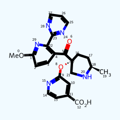 COc1ccc(C(=O)[C@@]2(Oc3cc(C(=O)O)ccn3)CC[C@@H](C)NC2)c(-c2ncccn2)n1